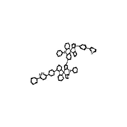 c1ccc(-c2ccc(-c3ccc(-c4cccc5c4-c4ccccc4C54c5ccccc5N(c5ccccc5)c5cc(-c6ccc7c(c6)N(c6ccccc6)c6ccccc6C76c7ccccc7-c7c(-c8ccc(-c9cccs9)cc8)cccc76)ccc54)cc3)nn2)cc1